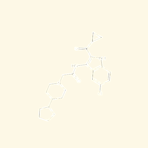 O=C(CN1CCC(C2CCCC2)CC1)Nc1c(C(=O)C2CC2)[nH]c2ccc(Cl)cc12